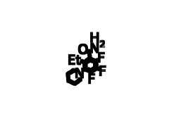 CCc1c(C(N)=O)c(F)c(F)c(F)c1N1CCCCC1